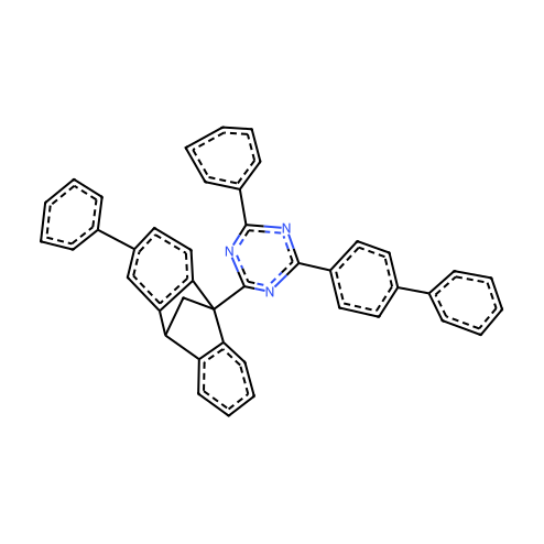 c1ccc(-c2ccc(-c3nc(-c4ccccc4)nc(C45CC(c6ccccc64)c4cc(-c6ccccc6)ccc45)n3)cc2)cc1